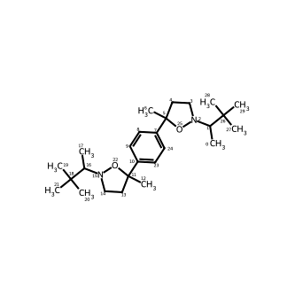 CC(N1CCC(C)(c2ccc(C3(C)CCN(C(C)C(C)(C)C)O3)cc2)O1)C(C)(C)C